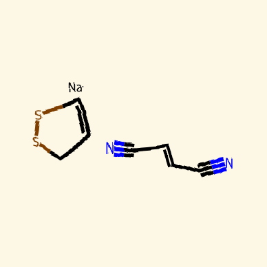 C1=CSSC1.N#CC=CC#N.[Na]